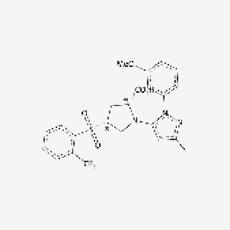 COc1cccc(-n2nc(C)cc2N2C[C@H](S(=O)(=O)c3ccccc3C(F)(F)F)C[C@@H]2C(=O)O)c1